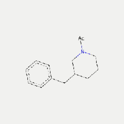 CC(=O)N1CCCC(Cc2ccccc2)C1